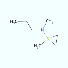 CCCN(C)S1(C)CC1